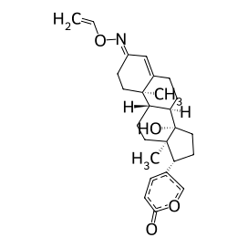 C=CO/N=C1/C=C2CC[C@@H]3[C@H](CC[C@]4(C)[C@@H](c5ccc(=O)oc5)CC[C@]34O)[C@@]2(C)CC1